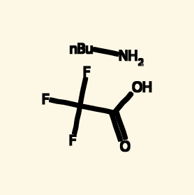 CCCCN.O=C(O)C(F)(F)F